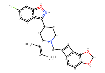 Fc1ccc2c(C3CCN(CC4=Cc5c4ccc4c5OCO4)CC3)noc2c1.O=C(O)/C=C/C(=O)O